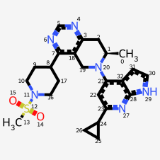 C[C@@H]1Cc2ncnc(C3CCN(S(C)(=O)=O)CC3)c2CN1c1cc(C2CC2)nc2[nH]ccc12